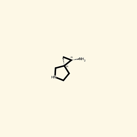 N[C@H]1C[C@@]12CCNC2